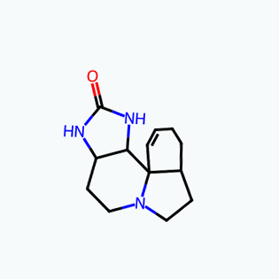 O=C1NC2CCN3CCC4CCC=CC43C2N1